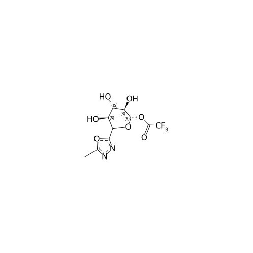 Cc1nnc(C2O[C@@H](OC(=O)C(F)(F)F)[C@H](O)[C@@H](O)[C@@H]2O)o1